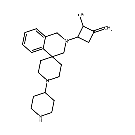 C=C1CC(N2Cc3ccccc3C3(CCN(C4CCNCC4)CC3)C2)C1CCC